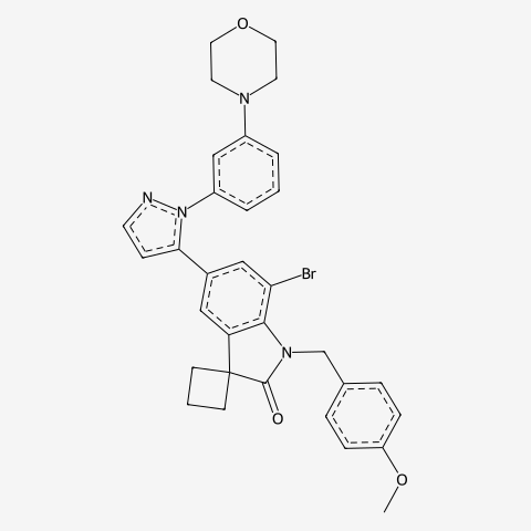 COc1ccc(CN2C(=O)C3(CCC3)c3cc(-c4ccnn4-c4cccc(N5CCOCC5)c4)cc(Br)c32)cc1